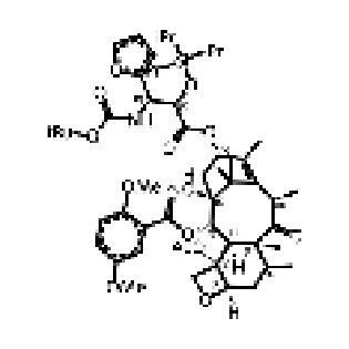 COc1ccc(OC)c(C(=O)O[C@H]2[C@@H]3[C@]4(OC(C)=O)CO[C@@H]4C[C@H](C)[C@@]3(C)C(=O)[C@H](C)C3=C(C)[C@@H](OC(=O)[C@H](O[Si](C(C)C)(C(C)C)C(C)C)[C@@H](NC(=O)OC(C)(C)C)c4ccco4)C[C@]2(O)C3(C)C)c1